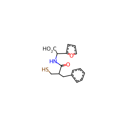 O=C(NC(C(=O)O)c1ccco1)C(CS)Cc1ccccc1